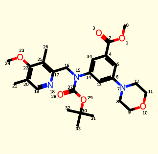 COC(=O)c1cc(N2CCOCC2)cc(N(Cc2ncc(C)c(OC)c2C)C(=O)OC(C)(C)C)c1